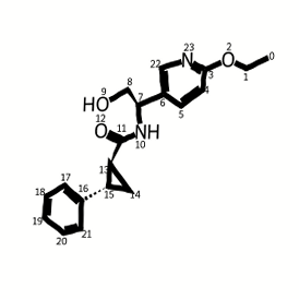 CCOc1ccc([C@H](CO)NC(=O)[C@H]2C[C@@H]2c2ccccc2)cn1